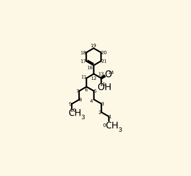 CCCCCCC(CCCC)CC(C(=O)O)C1=CCCCC1